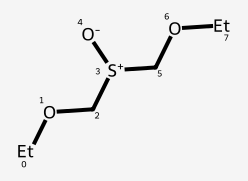 CCOC[S+]([O-])COCC